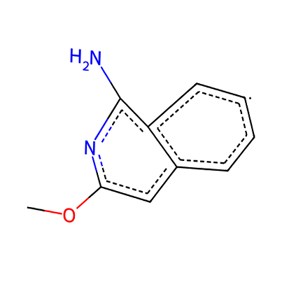 COc1cc2cc[c]cc2c(N)n1